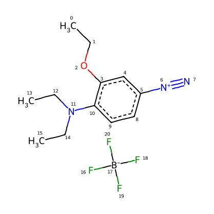 CCOc1cc([N+]#N)ccc1N(CC)CC.F[B-](F)(F)F